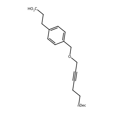 CCCCCCCCCCCCC#CCOCc1ccc(CCC(=O)O)cc1